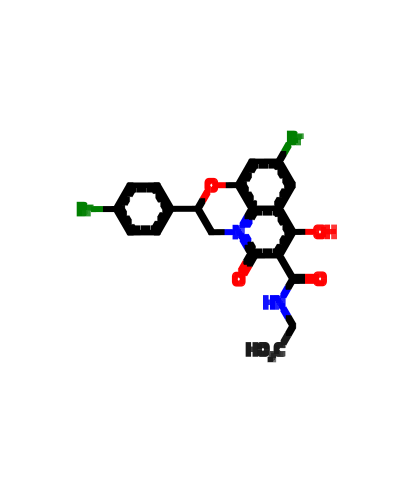 O=C(O)CNC(=O)c1c(O)c2cc(Br)cc3c2n(c1=O)CC(c1ccc(Br)cc1)O3